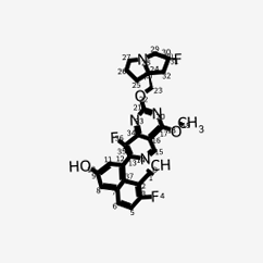 C#Cc1c(F)ccc2cc(O)cc(-c3ncc4c(OC)nc(OC[C@@]56CCCN5C[C@H](F)C6)nc4c3F)c12